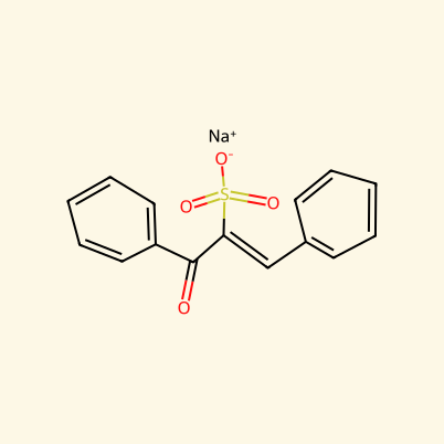 O=C(C(=Cc1ccccc1)S(=O)(=O)[O-])c1ccccc1.[Na+]